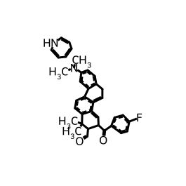 C1=CC=CNC=C1.CN(C)c1ccc2c(c1)-c1ccc3c(c1=CC2)=CC(C(=O)c1ccc(F)cc1)C(C=O)C3(C)C